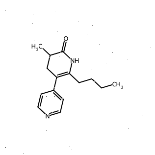 CCCCC1=C(c2ccncc2)CC(C)C(=O)N1